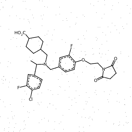 CC(c1ccc(Cl)c(F)c1)N(Cc1ccc(OCCN2C(=O)CCC2=O)c(F)c1)CC1CCC(C(=O)O)CC1